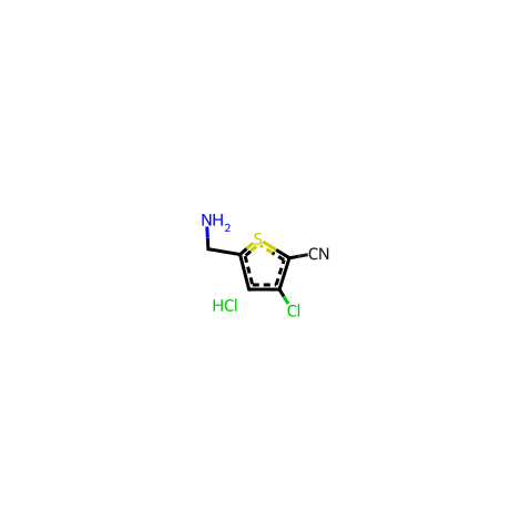 Cl.N#Cc1sc(CN)cc1Cl